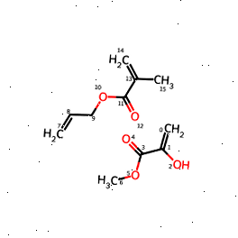 C=C(O)C(=O)OC.C=CCOC(=O)C(=C)C